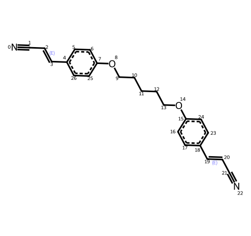 N#C/C=C/c1ccc(OCCCCCOc2ccc(/C=C/C#N)cc2)cc1